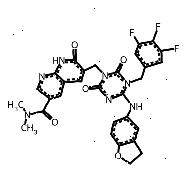 CN(C)C(=O)c1cnc2[nH]c(=O)c(Cn3c(=O)nc(Nc4ccc5c(c4)CCO5)n(Cc4cc(F)c(F)c(F)c4)c3=O)cc2c1